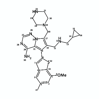 COc1cc(C)cc2cc(-c3c(CNCC4CC4)c(CN4CCNCC4)n4ncnc(N)c34)sc12